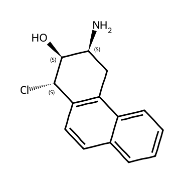 N[C@H]1Cc2c(ccc3ccccc23)[C@H](Cl)[C@H]1O